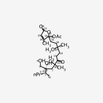 CCC[C@H](I)[C@@](O)(CO)CC(C)(C)C(=O)CCC(C)(C)CC[C@@]1(OC(C)=O)OC(=O)C=C1C